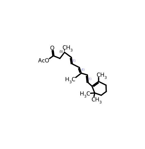 CC(=O)OC(=O)C[C@H](C)/C=C/C=C(C)/C=C/C1=C(C)CCCC1(C)C